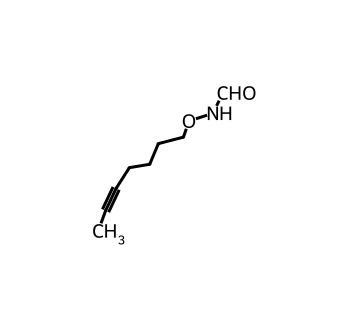 CC#CCCCCONC=O